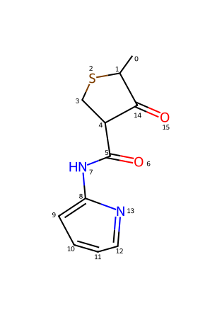 CC1SCC(C(=O)Nc2ccccn2)C1=O